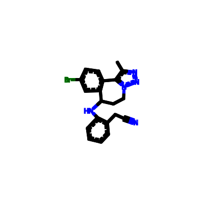 Cc1nnn2c1-c1ccc(Br)cc1C(Nc1ccccc1CC#N)CC2